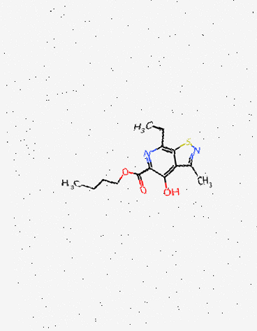 CCCCOC(=O)c1nc(CC)c2snc(C)c2c1O